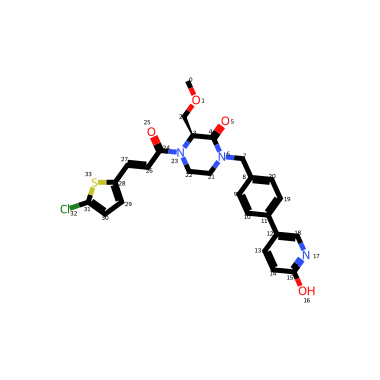 COC[C@H]1C(=O)N(Cc2ccc(-c3ccc(O)nc3)cc2)CCN1C(=O)C=Cc1ccc(Cl)s1